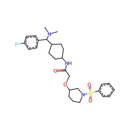 CN(C)C(c1ccc(F)cc1)C1CCC(NC(=O)COC2CCCN(S(=O)(=O)c3ccccc3)C2)CC1